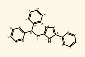 B(c1ncc(-c2ccccc2)[nH]1)C(c1ccccc1)c1ccccc1